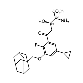 N[C@H](C(=O)O)[C@H](O)CC(=O)c1cc(C2CC2)cc(OCC23CC4CC(CC(C4)C2)C3)c1F